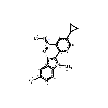 CC/N=[SH](=O)/c1cc(C2CC2)cnc1-c1nc2cc(C(F)(F)F)ncc2n1C